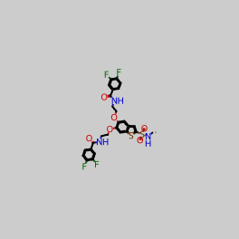 [CH2]NS(=O)(=O)c1cc2cc(OCCNC(=O)c3ccc(F)c(F)c3)c(OCCNC(=O)c3ccc(F)c(F)c3)cc2s1